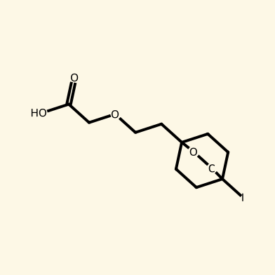 O=C(O)COCCC12CCC(I)(CC1)CO2